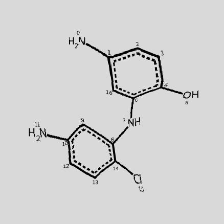 Nc1ccc(O)c(Nc2cc(N)ccc2Cl)c1